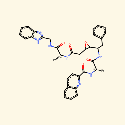 CC(C)[C@H](NC(=O)CC1OC1C(Cc1ccccc1)NC(=O)[C@H](NC(=O)c1ccc2ccccc2n1)C(C)C)C(=O)NCc1nc2ccccc2[nH]1